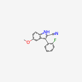 COc1ccc2[nH]c(C#N)c(-c3ccccc3F)c2c1